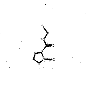 O=C(OCI)[C@@H]1CCCN1Cl